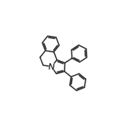 c1ccc(-c2cn3c(c2-c2ccccc2)-c2ccccc2CC3)cc1